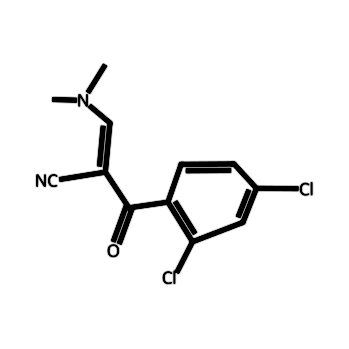 CN(C)C=C(C#N)C(=O)c1ccc(Cl)cc1Cl